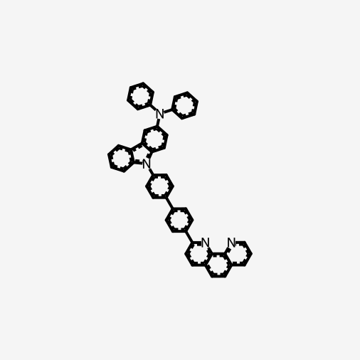 c1ccc(N(c2ccccc2)c2ccc3c(c2)c2ccccc2n3-c2ccc(-c3ccc(-c4ccc5ccc6cccnc6c5n4)cc3)cc2)cc1